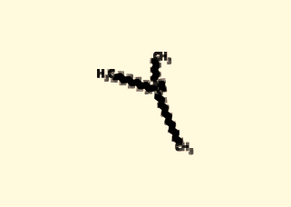 CCCCCCCCCCCCC[n+]1ccn(CCCCCC)c1CCCCCCCCCC